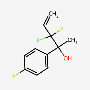 C=CC(F)(F)C(C)(O)c1ccc(F)cc1